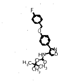 CC(C)(C)OC(=O)Nc1conc1-c1ccc(OCc2ccc(F)cc2)cc1